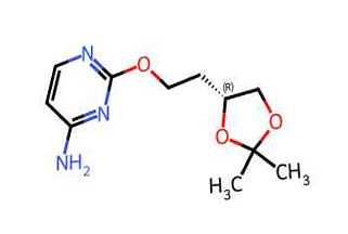 CC1(C)OC[C@@H](CCOc2nccc(N)n2)O1